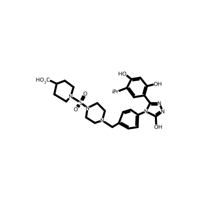 CC(C)c1cc(-c2nnc(O)n2-c2ccc(CN3CCN(S(=O)(=O)N4CCC(C(=O)O)CC4)CC3)cc2)c(O)cc1O